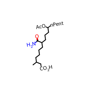 CCCCCC(CCCC(CCCCC(C)CC(=O)O)C(N)=O)OC(C)=O